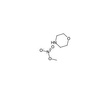 C1COCCN1.CO[N+](=O)[O-]